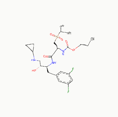 CCCC(CCC)S(=O)(=O)C[C@@H](NC(=O)OCCC#N)C(=O)N[C@@H](Cc1cc(F)cc(F)c1)[C@H](O)CNC1CC1